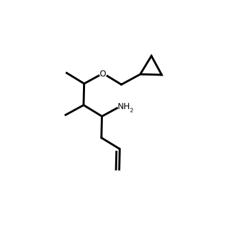 C=CCC(N)C(C)C(C)OCC1CC1